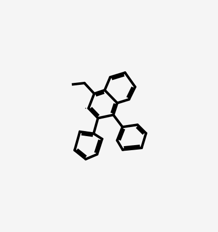 CCc1[c]c(-c2ccccc2)c(-c2ccccc2)c2ccccc12